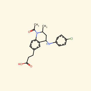 CC(=O)N1c2ccc(CCC(=O)O)cc2C(Nc2ccc(Cl)cc2)CC1C